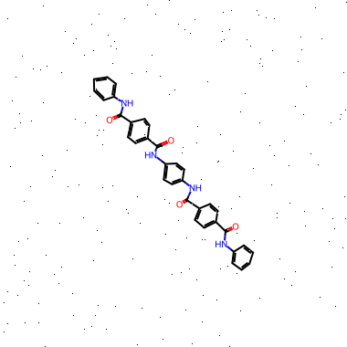 O=C(Nc1ccccc1)c1ccc(C(=O)Nc2ccc(NC(=O)c3ccc(C(=O)Nc4ccccc4)cc3)cc2)cc1